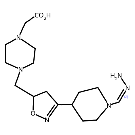 N/N=C\N1CCC(C2=NOC(CN3CCN(CC(=O)O)CC3)C2)CC1